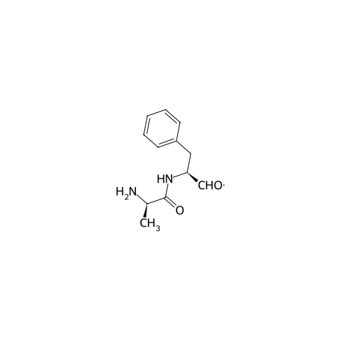 C[C@@H](N)C(=O)N[C@H]([C]=O)Cc1ccccc1